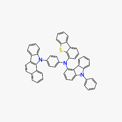 c1ccc(-n2c3ccccc3c3c(N(c4ccc(-n5c6ccccc6c6ccc7ccccc7c65)cc4)c4cccc5c4sc4ccccc45)cccc32)cc1